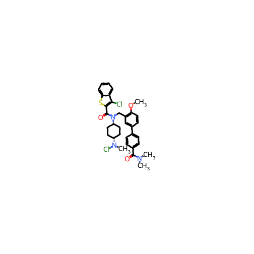 COc1ccc(-c2ccc(C(=O)N(C)C)cc2)cc1CN(C(=O)c1sc2ccccc2c1Cl)[C@H]1CC[C@H](N(C)Cl)CC1